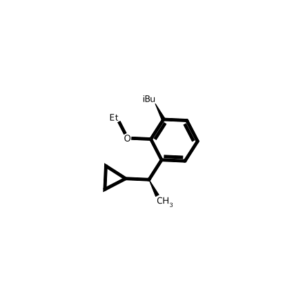 CCOc1c([C@H](C)CC)cccc1[C@@H](C)C1CC1